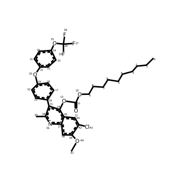 CCCCCCCCCCOC(=O)Oc1c(-c2ccc(Oc3ccc(OC(F)(F)F)cc3)cc2)c(C)nc2cc(OC)c(Cl)cc12